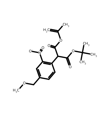 C=C(C)OC(=O)C(C(=O)OC(C)(C)C)c1ccc(COC)cc1[N+](=O)[O-]